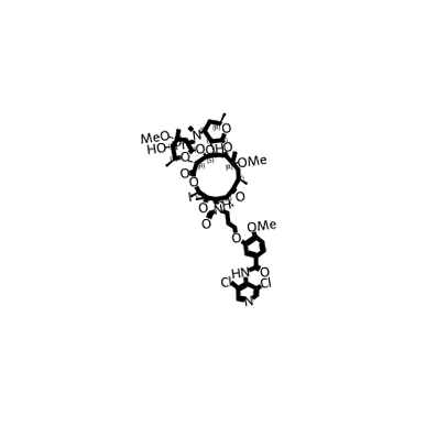 COc1ccc(C(=O)Nc2c(Cl)cncc2Cl)cc1OCCCN1C(=O)O[C@]2(C)[C@@H](I)OC(=O)[C@H](C)[C@@H](O[C@H]3C[C@@](C)(OC)[C@@H](O)[C@H](C)O3)[C@H](C)[C@@H](O[C@@H]3O[C@H](C)C[C@H](N(C)CC(C)C)[C@H]3O)[C@](C)(OC)C[C@@H](C)C(=O)[C@H](C)[C@@H]12